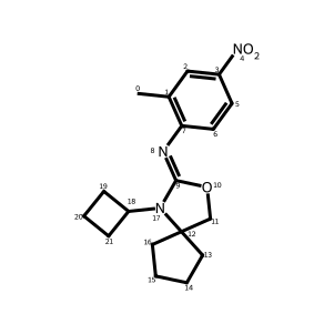 Cc1cc([N+](=O)[O-])ccc1N=C1OCC2(CCCC2)N1C1CCC1